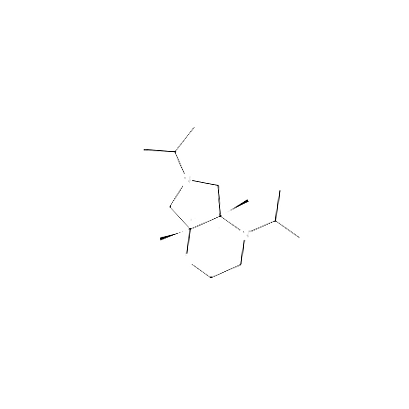 CC(C)N1C[C@@]2(C)OCCN(C(C)C)[C@@]2(C)C1